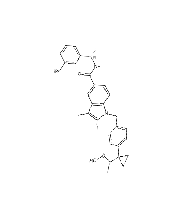 Cc1c(C)n(Cc2ccc(C3(C(C)OO)CC3)cc2)c2ccc(C(=O)N[C@@H](C)c3cccc(C(C)C)c3)cc12